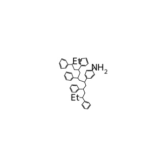 CCC(CC(CC(CC(CC(CC(CC)c1ccccc1)c1ccccc1)c1ccc(N)cc1)c1ccccc1)c1ccccc1)c1ccccc1